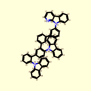 c1cc(-c2cccc(-n3c4ccccc4c4cccnc43)c2)cc(-c2cc(-c3ccccc3-n3c4ccccc4c4ccccc43)ccc2-n2c3ccccc3c3ccccc32)c1